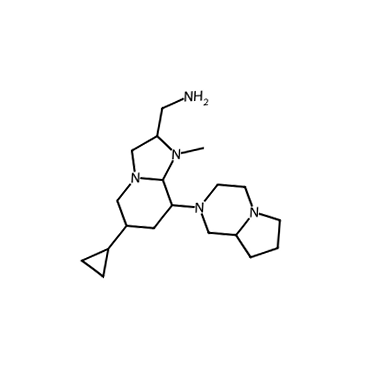 CN1C(CN)CN2CC(C3CC3)CC(N3CCN4CCCC4C3)C21